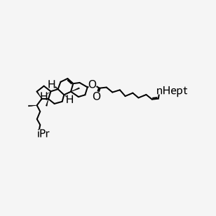 CCCCCCC/C=C\CCCCCCCC(=O)O[C@H]1CC[C@@]2(C)C(=CC[C@H]3[C@@H]4CC[C@H]([C@H](C)CCCC(C)C)[C@@]4(C)CC[C@@H]32)C1